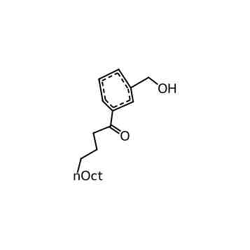 CCCCCCCCCCCC(=O)c1cccc(CO)c1